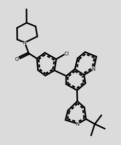 CC1CCN(C(=O)c2ccc(-c3cc(-c4ccnc(C(C)(C)C)c4)cc4ncccc34)c(Cl)c2)CC1